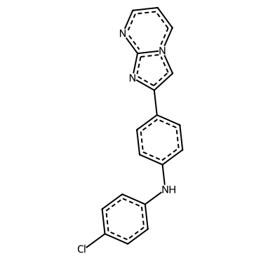 Clc1ccc(Nc2ccc(-c3cn4cccnc4n3)cc2)cc1